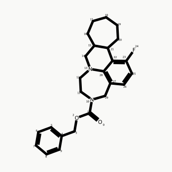 O=C(OCc1ccccc1)N1CCN2CC3CCCCCC3c3c(F)ccc(c32)C1